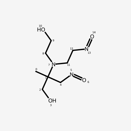 CC(CO)(CN=O)N(CCO)CCN=O